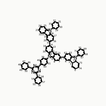 C1=CC2c3cc(-c4ccc5c(c4)c4cc(-c6ccc7c(c6)c6ccccc6n7-c6ccccc6)ccc4n5-c4ccc(-c5nc(-c6ccccc6)nc(-c6ccccc6)n5)cc4)ccc3N(c3ccccc3)C2C=C1